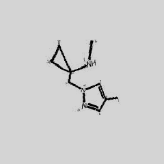 CNC1(Cn2cc(C)cn2)CC1